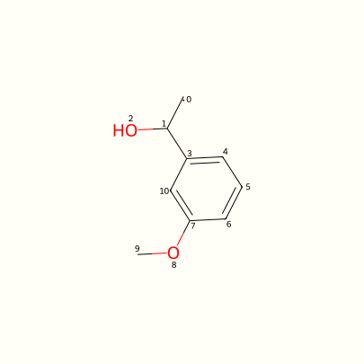 [CH2]C(O)c1cccc(OC)c1